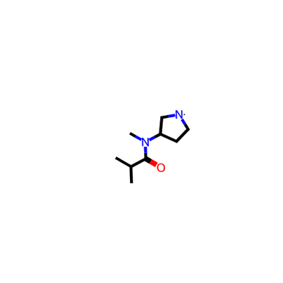 CC(C)C(=O)N(C)C1CC[N]C1